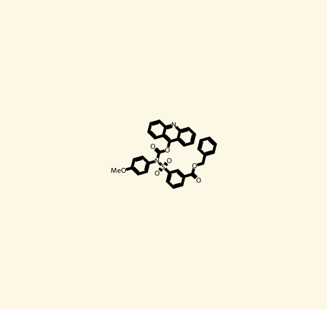 COc1ccc(N(C(=O)Oc2c3ccccc3nc3ccccc23)S(=O)(=O)c2cccc(C(=O)OCc3ccccc3)c2)cc1